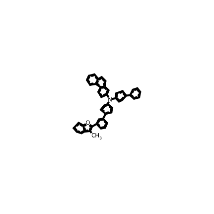 Cc1c(-c2cccc(-c3ccc(N(c4ccc(-c5ccccc5)cc4)c4ccc5c(ccc6ccccc65)c4)cc3)c2)oc2ccccc12